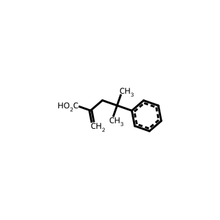 C=C(CC(C)(C)c1ccccc1)C(=O)O